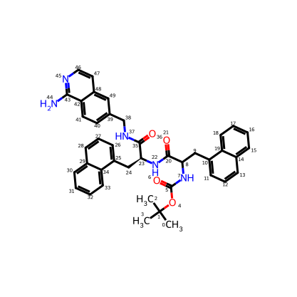 CC(C)(C)OC(=O)NC(Cc1cccc2ccccc12)C(=O)N[C@@H](Cc1cccc2ccccc12)C(=O)NCc1ccc2c(N)nccc2c1